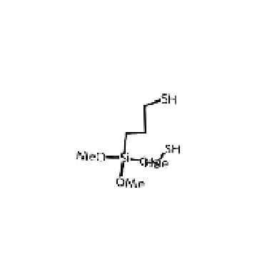 CO[Si](CCCS)(OC)OC.SS